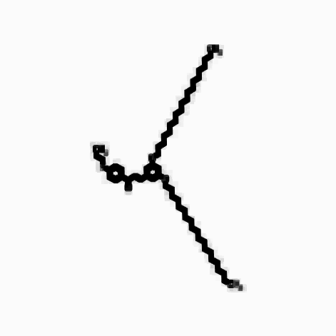 CCCCCCCCCCCCCCCCCCCCOc1cc(/C=C/C(=O)c2ccc(SCCC)cc2)cc(OCCCCCCCCCCCCCCCCCCCC)c1